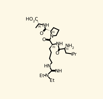 CCN(CC)C(=N)NCCCC[C@H](NC(=O)[C@@H](N)CC(C)C)C(=O)N1CCC[C@H]1C(=O)N[C@H](C)C(=O)O